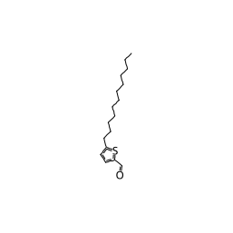 CCCCCCCCCCCCc1ccc(C=O)s1